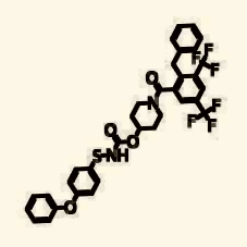 O=C(NSc1ccc(Oc2ccccc2)cc1)OC1CCN(C(=O)c2cc(C(F)(F)F)cc(C(F)(F)F)c2Cc2ccccc2)CC1